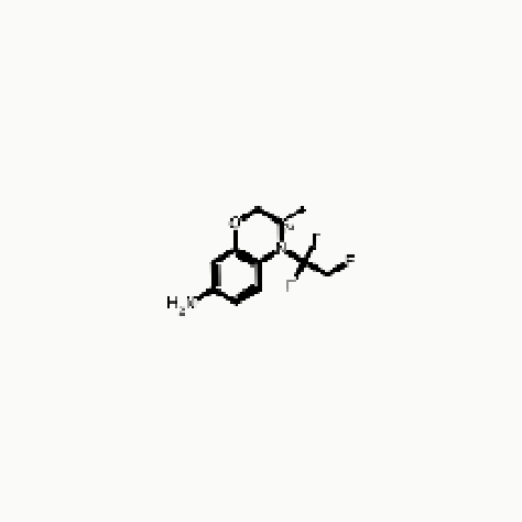 C[C@@H]1COc2cc(N)ccc2N1C(F)(F)CF